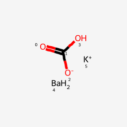 O=C([O-])O.[BaH2].[K+]